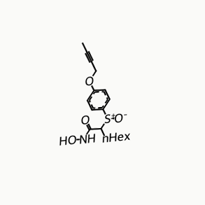 CC#CCOc1ccc([S@@+]([O-])C(CCCCCC)C(=O)NO)cc1